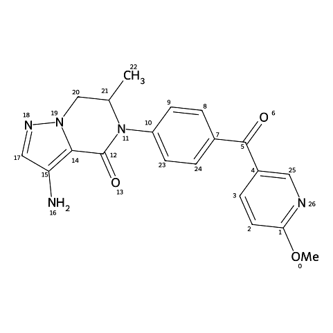 COc1ccc(C(=O)c2ccc(N3C(=O)c4c(N)cnn4CC3C)cc2)cn1